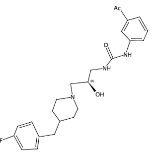 CC(=O)c1cccc(NC(=O)NC[C@@H](O)CN2CCC(Cc3ccc(F)cc3)CC2)c1